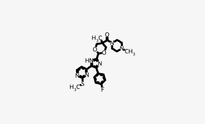 CSc1nccc(-c2[nH]c(C3OCC(C)(C(=O)N4CCN(C)CC4)CO3)nc2-c2ccc(F)cc2)n1